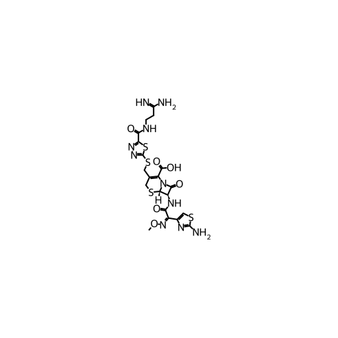 CO/N=C(\C(=O)N[C@@H]1C(=O)N2C(C(=O)O)=C(CSc3nnc(C(=O)NCCC(=N)N)s3)CS[C@@H]12)c1csc(N)n1